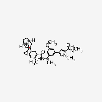 CNC(=O)c1cc(-c2cc(OC)cc([C@@H](C)NC(=O)c3cc(N4C[C@H]5CC[C@@H](C4)N5CC4CC4)ccc3C)c2)cn1C